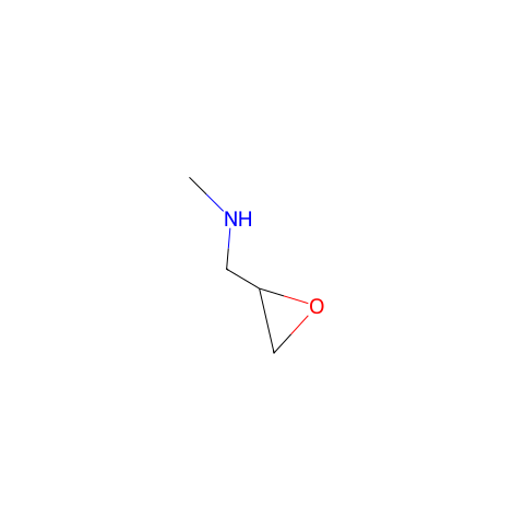 CNCC1CO1